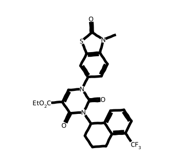 CCOC(=O)c1cn(-c2ccc3c(c2)sc(=O)n3C)c(=O)n(C2CCCc3c2cccc3C(F)(F)F)c1=O